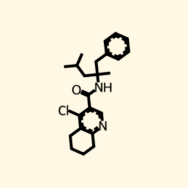 CC(C)CC(C)(Cc1ccccc1)NC(=O)c1cnc2c(c1Cl)CCCC2